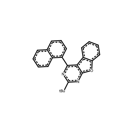 CC(C)(C)c1nc(-c2cccc3ccccc23)c2c(n1)oc1ccccc12